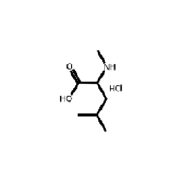 CNC(CC(C)C)C(=O)O.Cl